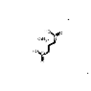 O=[PH](O)CCC[PH](=O)O.[CaH2]